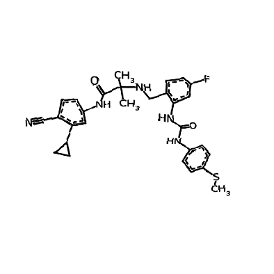 CSc1ccc(NC(=O)Nc2cc(F)ccc2CNC(C)(C)C(=O)Nc2ccc(C#N)c(C3CC3)c2)cc1